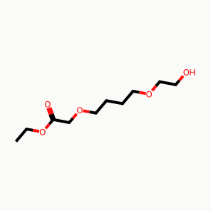 CCOC(=O)COCCCCOCCO